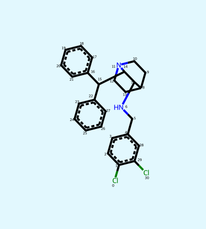 Clc1ccc(CNC2C3CCN(CC3)C2C(c2ccccc2)c2ccccc2)cc1Cl